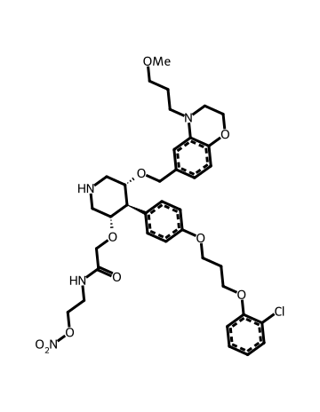 COCCCN1CCOc2ccc(CO[C@H]3CNC[C@@H](OCC(=O)NCCO[N+](=O)[O-])[C@@H]3c3ccc(OCCCOc4ccccc4Cl)cc3)cc21